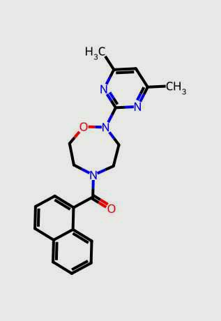 Cc1cc(C)nc(N2CCN(C(=O)c3cccc4ccccc34)CCO2)n1